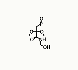 COC(CP=O)(OC)C(=O)NCO